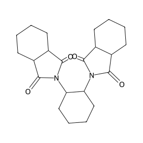 O=C1C2CCCCC2C(=O)N1C1CCCCC1N1C(=O)C2CCCCC2C1=O